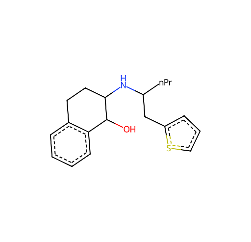 CCCC(Cc1cccs1)NC1CCc2ccccc2C1O